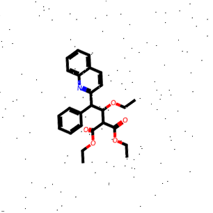 CCOC(=O)C(C(=O)OCC)C(OCC)C(c1ccccc1)c1ccc2ccccc2n1